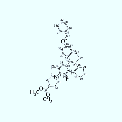 COC(OC)C1CCN(c2c(F)cc(C3=C(C4=CCCCC4)CCc4cc(OCc5ccccc5)ccc43)cc2F)CC1